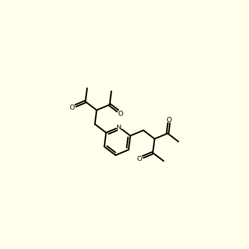 CC(=O)C(Cc1cccc(CC(C(C)=O)C(C)=O)n1)C(C)=O